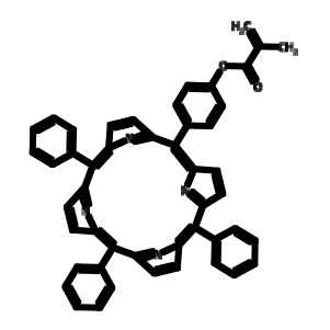 C=C(C)C(=O)Oc1ccc(C2=C3C=CC(=N3)C(c3ccccc3)=C3C=CC(=N3)C(c3ccccc3)=C3C=CC(=N3)C(c3ccccc3)=C3C=CC2=N3)cc1